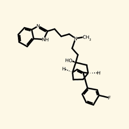 CN(CCCc1nc2ccccc2[nH]1)CC[C@]1(O)C[C@H]2CC[C@@H]1C=C2c1cccc(F)c1